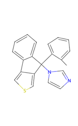 Cc1ccccc1C1(n2ccnc2)c2ccccc2-c2cscc21